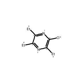 CCc1nc(CC)c(CC)nc1Cl